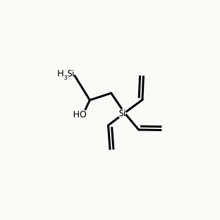 C=C[Si](C=C)(C=C)CC(O)[SiH3]